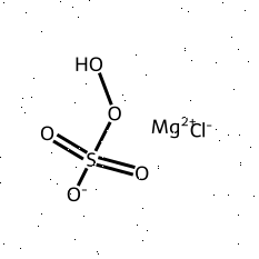 O=S(=O)([O-])OO.[Cl-].[Mg+2]